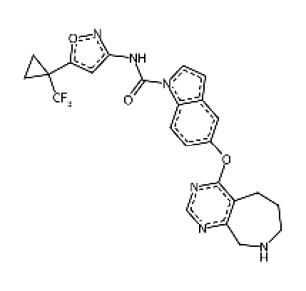 O=C(Nc1cc(C2(C(F)(F)F)CC2)on1)n1ccc2cc(Oc3ncnc4c3CCCNC4)ccc21